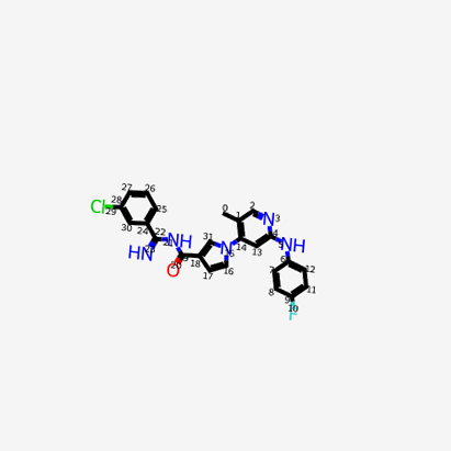 Cc1cnc(Nc2ccc(F)cc2)cc1-n1ccc(C(=O)NC(=N)c2cccc(Cl)c2)c1